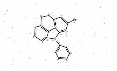 Brc1cc2c3c4c(cccc4n(-c4ccccc4)c3c1)CC2